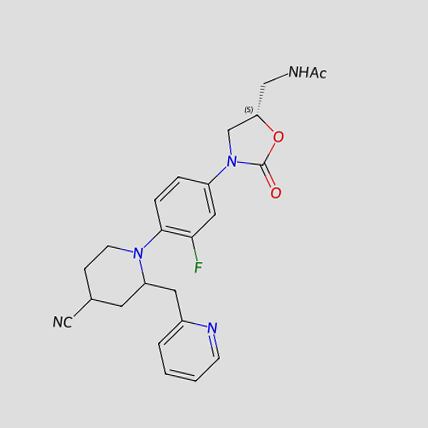 CC(=O)NC[C@H]1CN(c2ccc(N3CCC(C#N)CC3Cc3ccccn3)c(F)c2)C(=O)O1